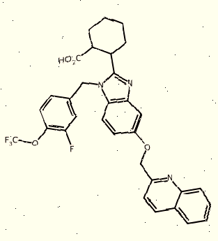 O=C(O)C1CCCCC1c1nc2cc(OCc3ccc4ccccc4n3)ccc2n1Cc1ccc(OC(F)(F)F)c(F)c1